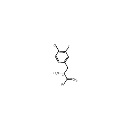 C=C(C(C)C)[C@H](N)Cc1ccc(Cl)c(F)c1